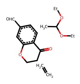 C=C.CCOC(C)OCC.O=Cc1ccc2c(c1)OCCC2=O